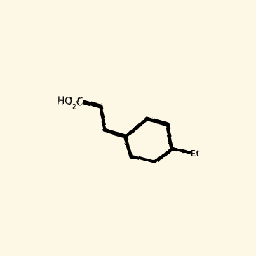 CCC1CCC(CCC(=O)O)CC1